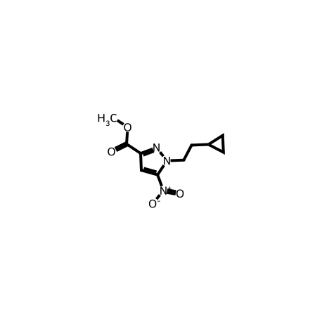 COC(=O)c1cc([N+](=O)[O-])n(CCC2CC2)n1